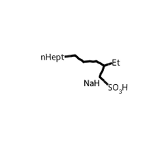 CCCCCCCCCCC(CC)CS(=O)(=O)O.[NaH]